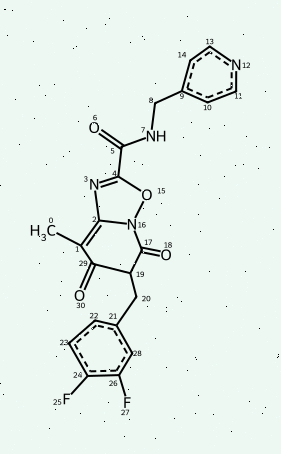 CC1=C2N=C(C(=O)NCc3ccncc3)ON2C(=O)C(Cc2ccc(F)c(F)c2)C1=O